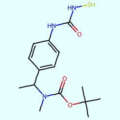 CC(c1ccc(NC(=O)NS)cc1)N(C)C(=O)OC(C)(C)C